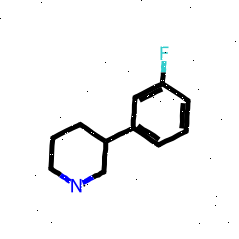 Fc1cccc(C2CCC[N]C2)c1